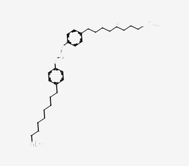 CCCCCCCCCCCCCCCCCCc1ccc(SSSc2ccc(CCCCCCCCCCCCCCCCCC)cc2)cc1